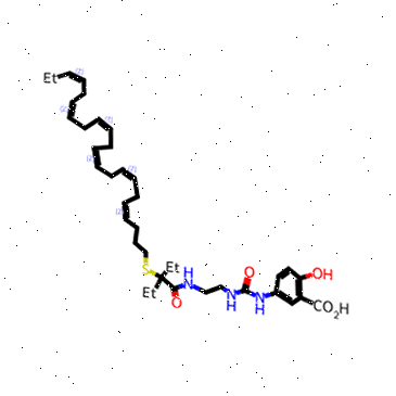 CC/C=C\C/C=C\C/C=C\C/C=C\C/C=C\C/C=C\CCCSC(CC)(CC)C(=O)NCCNC(=O)Nc1ccc(O)c(C(=O)O)c1